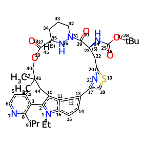 CCn1c(-c2cccnc2C(C)C)c2c3cc(ccc31)-c1csc(n1)C[C@H](NC(=O)OC(C)(C)C)C(=O)N1CCC[C@H](N1)C(=O)OCC(C)(C)C2